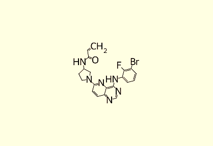 C=CC(=O)NC1CCN(c2ccc3ncnc(Nc4cccc(Br)c4F)c3n2)C1